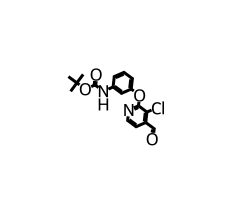 CC(C)(C)OC(=O)Nc1cccc(Oc2nccc(C=O)c2Cl)c1